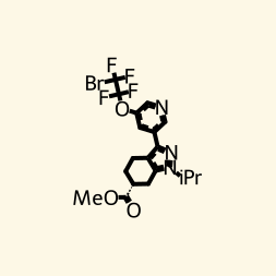 COC(=O)[C@@H]1CCc2c(-c3cncc(OC(F)(F)C(F)(F)Br)c3)nn(C(C)C)c2C1